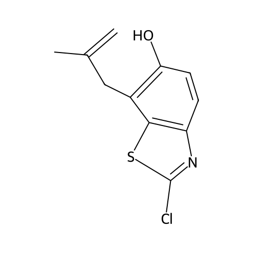 C=C(C)Cc1c(O)ccc2nc(Cl)sc12